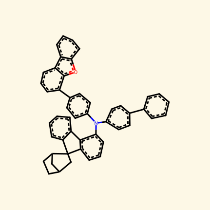 c1ccc(-c2ccc(N(c3ccc(-c4cccc5c4oc4ccccc45)cc3)c3cccc4c3-c3ccccc3C43CC4CCC3C4)cc2)cc1